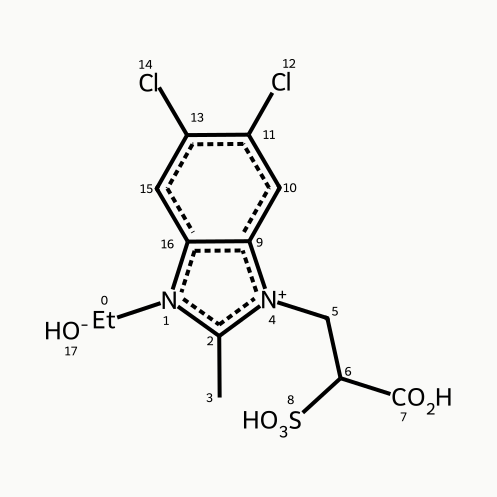 CCn1c(C)[n+](CC(C(=O)O)S(=O)(=O)O)c2cc(Cl)c(Cl)cc21.[OH-]